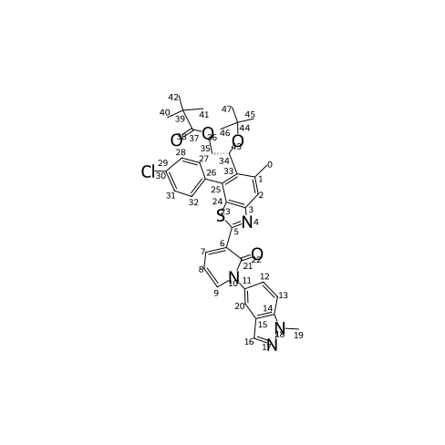 Cc1cc2nc(-c3cccn(-c4ccc5c(cnn5C)c4)c3=O)sc2c(-c2ccc(Cl)cc2)c1[C@H](COC(=O)C(C)(C)C)OC(C)(C)C